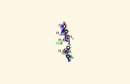 C[C@@H]1CN(CCC[C@H]2CC[C@H](N3C(=S)N(c4ccc(C#N)c(C(F)(F)F)c4)C(=O)C3(C)C)CC2)C[C@H](C)N1CC(=O)Nc1cccc2c(N3CCC(=O)NC3=O)nn(C)c12.Cl